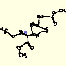 CO/N=C(\C(=O)OC)c1nsc(NC(=O)OC)n1